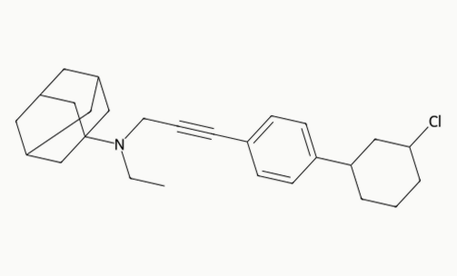 CCN(CC#Cc1ccc(C2CCCC(Cl)C2)cc1)C12CC3CC(CC(C3)C1)C2